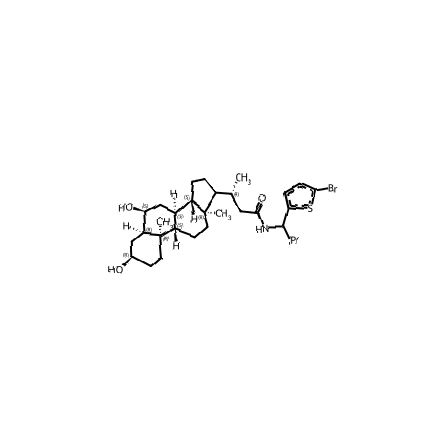 CC(C)C(NC(=O)C[C@@H](C)C1CC[C@H]2[C@@H]3C[C@H](O)[C@@H]4C[C@H](O)CC[C@]4(C)[C@H]3CC[C@]12C)c1ccc(Br)s1